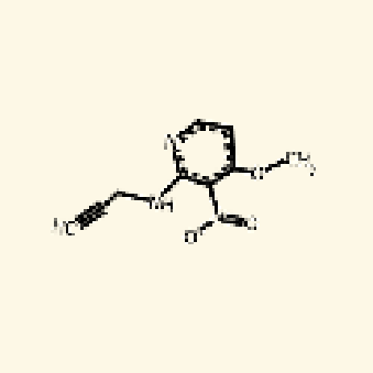 C#CCNc1nccc(OC)c1[N+](=O)[O-]